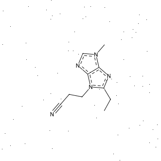 CCc1nc2c(ncn2C)n1CCC#N